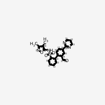 Cc1noc(NS(=O)(=O)c2ccccc2-c2ccc(-c3ncccn3)cc2C=O)c1C